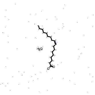 CCCCCCCC/C=C\CCCCCCCC(=O)[O-].O.[K+]